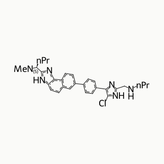 CCCNCc1nc(-c2ccc(-c3ccc4c(ccc5[nH]c([C@H](CCC)NC)nc54)c3)cc2)c(Cl)[nH]1